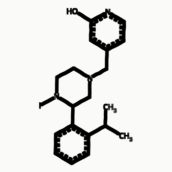 CC(C)c1ccccc1C1CN(Cc2ccnc(O)c2)CCN1I